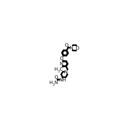 Cc1nc(Oc2ccc(C(=O)N3CCOCC3)cc2)ccc1CN1CCC(NC(N)=O)CC1